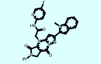 CC(C)N1Cc2c(n(CC(=O)Nc3ccc(F)cn3)c3cc(-c4cc5ccccc5n4C)nn3c2=O)C1=O